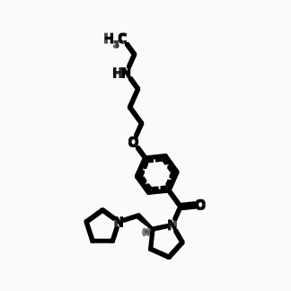 CCNCCCOc1ccc(C(=O)N2CCC[C@H]2CN2CCCC2)cc1